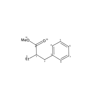 C[CH]C(Cc1ccccc1)C(=O)OC